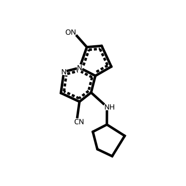 N#Cc1cnn2c(N=O)ccc2c1NC1CCCC1